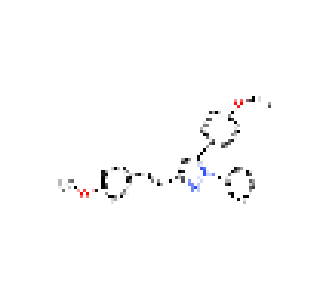 COc1ccc(C=Cc2cc(-c3ccc(OC)cc3)n(-c3ccccc3)n2)cc1